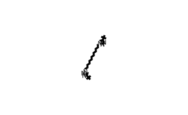 CC(C)(C)c1cn(CCCCCCCCCCCCCn2cc(C(C)(C)C)nn2)nn1